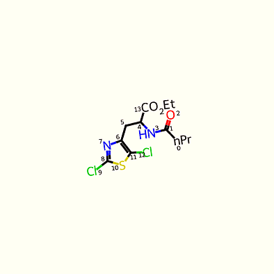 CCCC(=O)NC(Cc1nc(Cl)sc1Cl)C(=O)OCC